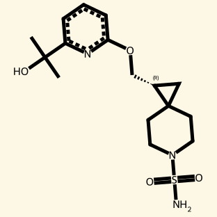 CC(C)(O)c1cccc(OC[C@@H]2CC23CCN(S(N)(=O)=O)CC3)n1